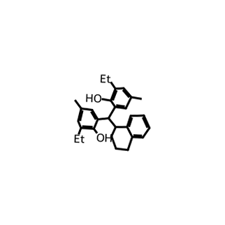 CCc1cc(C)cc(C(c2cc(C)cc(CC)c2O)C2CCCc3ccccc32)c1O